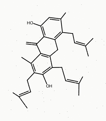 C=C1c2c(O)cc(C)c(CC=C(C)C)c2Cc2c(CC=C(C)C)c(O)c(CC=C(C)C)c(C)c21